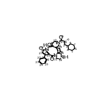 C[C@H](CC1CCCCC1)C(=O)N1CC[C@]2(O)Cn3cc(c(-c4ccccc4)cc3=O)C(=O)N3CCNCC34CCC2(C1)C4